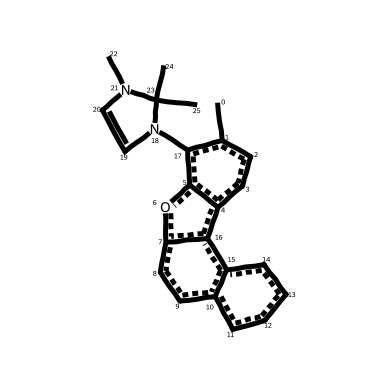 Cc1ccc2c(oc3ccc4ccccc4c32)c1N1C=CN(C)C1(C)C